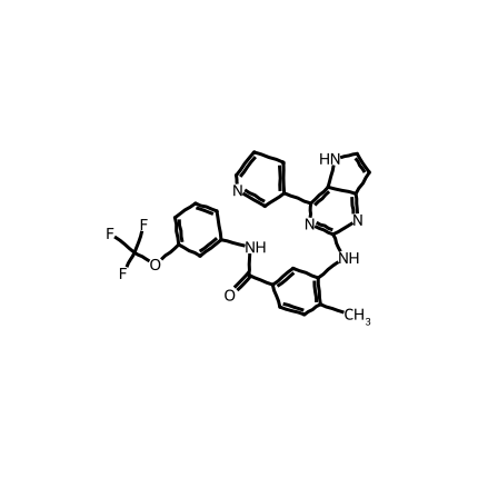 Cc1ccc(C(=O)Nc2cccc(OC(F)(F)F)c2)cc1Nc1nc(-c2cccnc2)c2[nH]ccc2n1